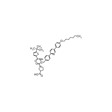 CCCCCCCOc1ccc(-c2ccc(-c3ccc(C[C@H](NC(=O)c4ccc(C(C)(C)C)s4)C(=O)N4CCC(C(=O)O)C4)cc3)nc2)cc1